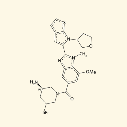 CCCC1C[C@@H](N)CN(C(=O)c2cc(OC)c3c(c2)nc(-c2cc4ccsc4n2C2CCOC2)n3C)C1